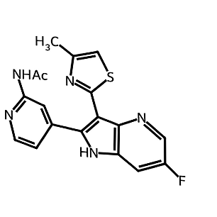 CC(=O)Nc1cc(-c2[nH]c3cc(F)cnc3c2-c2nc(C)cs2)ccn1